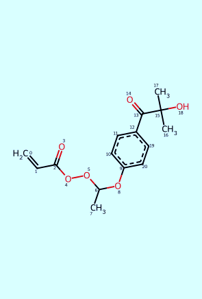 C=CC(=O)OOC(C)Oc1ccc(C(=O)C(C)(C)O)cc1